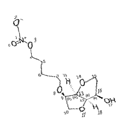 O=[N+]([O-])OCCCCO[C@@H]1CO[C@H]2[C@@H]1OC[C@H]2O